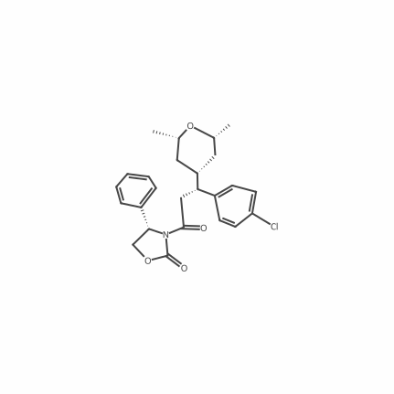 C[C@@H]1C[C@H]([C@@H](CC(=O)N2C(=O)OC[C@@H]2c2ccccc2)c2ccc(Cl)cc2)C[C@H](C)O1